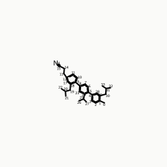 Cc1ccc(-c2ccc(-c3ccc(CCC#N)cc3CC(C)C)cc2C(C)C)cc1CC(C)C